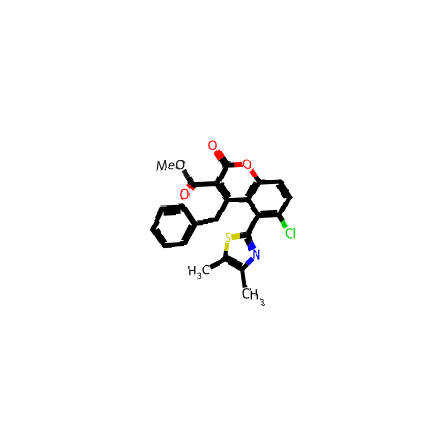 COC(=O)c1c(Cc2ccccc2)c2c(-c3nc(C)c(C)s3)c(Cl)ccc2oc1=O